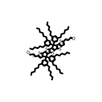 CCCCCCc1cc(CCCCCC)cc(C2(c3cc(CCCCCC)cc(CCCCCC)c3)c3cc(/C=C/C=O)sc3-c3sc4c5c(sc4c32)-c2sc3cc(/C=C/C=O)sc3c2C5(c2cc(CCCCCC)cc(CCCCCC)c2)c2cc(CCCCCC)cc(CCCCCC)c2)c1